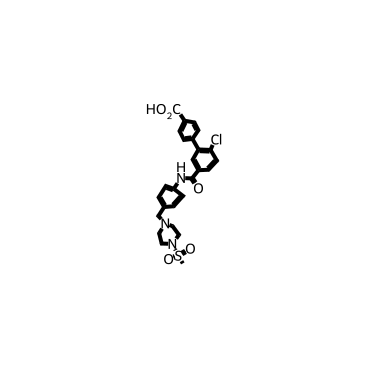 CS(=O)(=O)N1CCN(Cc2ccc(NC(=O)c3ccc(Cl)c(-c4ccc(C(=O)O)cc4)c3)cc2)CC1